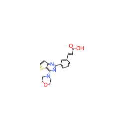 O=C(O)C=Cc1cccc(-c2nc(N3CCOCC3)c3sccc3n2)c1